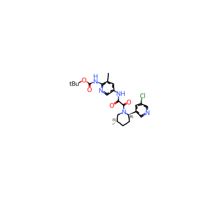 Cc1cc(NC(=O)C(=O)N2C[C@@H](C)CC[C@@H]2c2cncc(Cl)c2)cnc1NC(=O)OC(C)(C)C